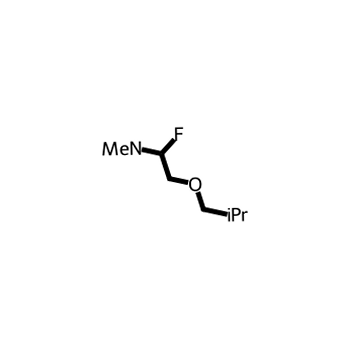 CNC(F)COCC(C)C